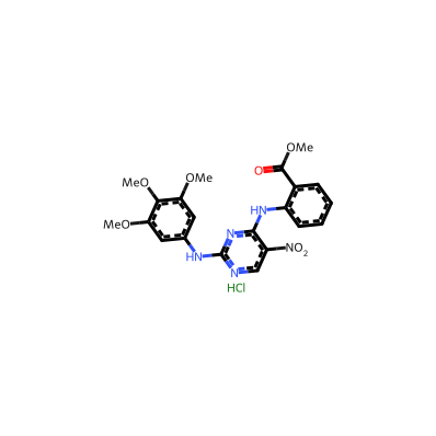 COC(=O)c1ccccc1Nc1nc(Nc2cc(OC)c(OC)c(OC)c2)ncc1[N+](=O)[O-].Cl